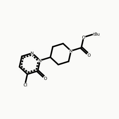 CC(C)(C)OC(=O)N1CCC(n2nccc(Cl)c2=O)CC1